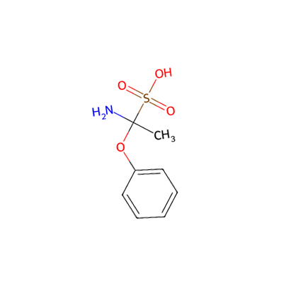 CC(N)(Oc1ccccc1)S(=O)(=O)O